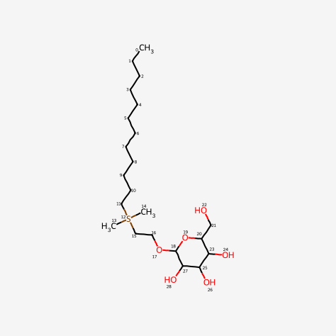 CCCCCCCCCCCCS(C)(C)CCOC1OC(CO)C(O)C(O)C1O